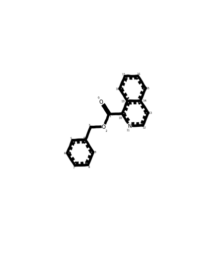 O=C(OCc1ccccc1)c1nccc2[c]cccc12